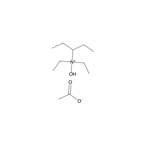 CC(=O)[O-].CCC(CC)[N+](O)(CC)CC